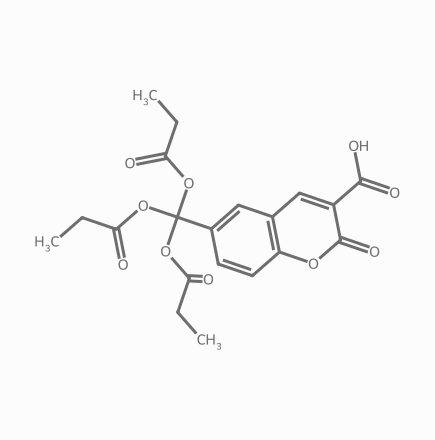 CCC(=O)OC(OC(=O)CC)(OC(=O)CC)c1ccc2oc(=O)c(C(=O)O)cc2c1